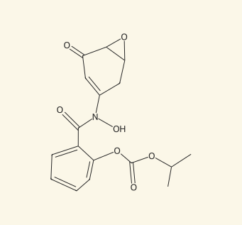 CC(C)OC(=O)Oc1ccccc1C(=O)N(O)C1=CC(=O)C2OC2C1